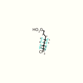 O=C(O)CCCC(F)(F)C(F)(F)C(F)(F)C(F)(F)C(F)(F)F